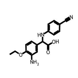 CCOc1ccc(C(Nc2ccc(C#N)cc2)C(=O)O)cc1N